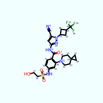 N#Cc1cc(NC(=O)c2ccc(NS(=O)(=O)CCO)cc2N2CCC3(CC2)CC3)nn1C1CC(C(F)(F)F)C1